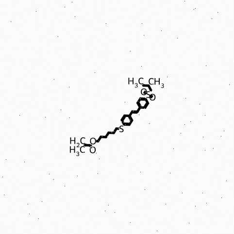 C=C(C)C(=O)OCCCCCCSc1ccc(C=Cc2ccc(S(=O)(=O)C[C@H](C)CC)cc2)cc1